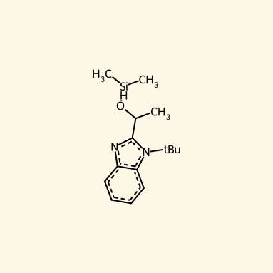 CC(O[SiH](C)C)c1nc2ccccc2n1C(C)(C)C